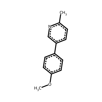 COc1ccc(-c2ccc(C)nc2)cc1